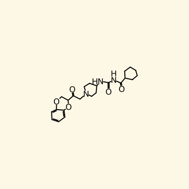 O=C(NC(=O)C1CCCCC1)NC1CCN(CC(=O)C2COc3ccccc3O2)CC1